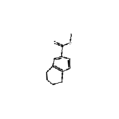 COC(=O)c1ccc2c(c1)CCCC2